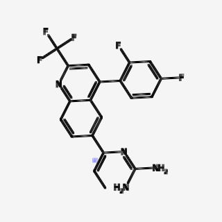 C/C=C(\N=C(N)N)c1ccc2nc(C(F)(F)F)cc(-c3ccc(F)cc3F)c2c1